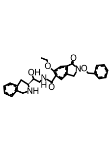 CCOc1cc2c(cc1C(=O)NCC(O)[C@@H]1Cc3ccccc3CN1)CN(OCc1ccccc1)C2=O